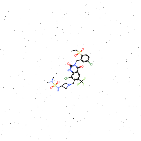 CCS(=O)(=O)c1ccc(Cl)cc1Cn1c(=O)[nH]c2c(Cl)c(CN3CC(NS(=O)(=O)N(C)C)C3)c(C(F)(F)F)cc2c1=O